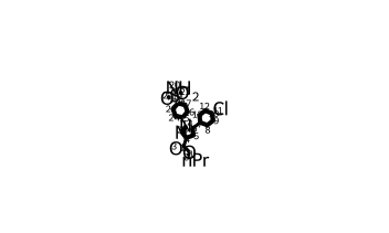 CCCOC(=O)c1cc(-c2ccc(Cl)cc2)n(-c2ccc(S(N)(=O)=O)cc2)n1